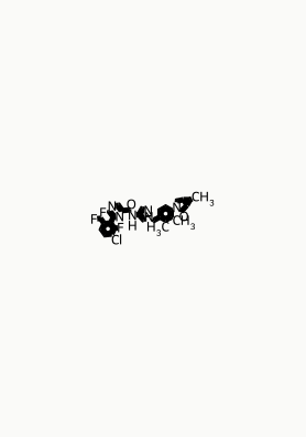 Cc1c(Cn2cc(NC(=O)c3cncc(-c4c(C(F)F)ccc(Cl)c4F)n3)cn2)ccc(N2CC3C(C)C3C2=O)c1C